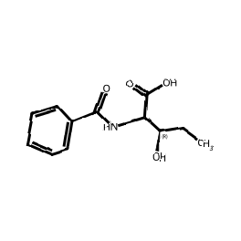 CC[C@@H](O)C(NC(=O)c1ccccc1)C(=O)O